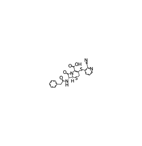 N#Cc1ncccc1SC1=C(C(=O)O)N2C(=O)[C@@H](NC(=O)Cc3ccccc3)[C@@H]2SC1